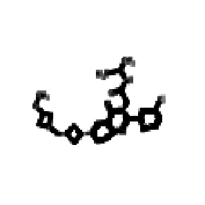 COC1CN(C[C@H]2C[C@@H](c3ccc4nc(-c5cccc(Cl)c5)n(CC(=O)NC(C)C)c(=O)c4c3)C2)C1